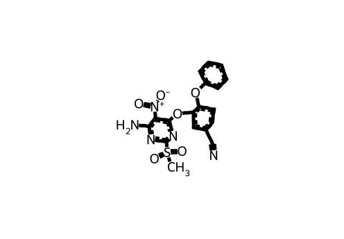 CS(=O)(=O)c1nc(N)c([N+](=O)[O-])c(Oc2cc(C#N)ccc2Oc2ccccc2)n1